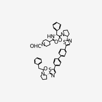 O=CN1CCC(C(=O)N[C@@H](C(=O)N2CCC[C@H]2c2ncc(-c3ccc(-c4ccc(-c5cnc([C@@H]6CCCN6C(=O)Cc6ccccc6)s5)cc4)cc3)s2)c2ccccc2)CC1